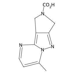 Cc1ccnc2c3c(nn12)CN(C(=O)O)C3